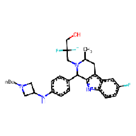 CCCCN1CC(Nc2ccc(C3c4[nH]c5ccc(F)cc5c4CC(C)N3CC(F)(F)CO)cc2)C1